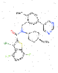 CN[C@H]1CC[C@@H](N(Cc2cc(-c3cncnc3)ccc2OC)C(=O)c2sc3c(F)ccc(F)c3c2Cl)CC1